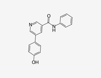 O=C(Nc1ccccc1)c1cncc(-c2ccc(O)cc2)c1